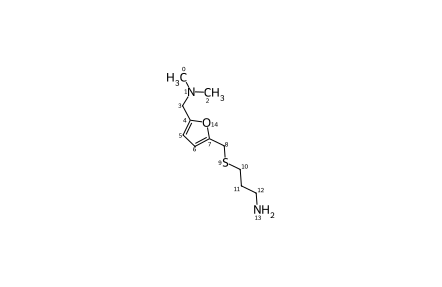 CN(C)Cc1ccc(CSCCCN)o1